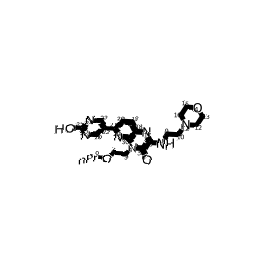 CCCOCCn1c(=O)c(NCCN2CCOCC2)nc2ccc(-c3cnc(O)nc3)nc21